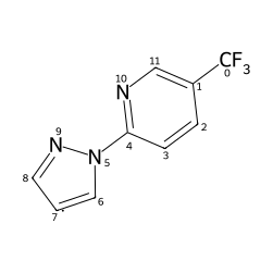 FC(F)(F)c1ccc(-n2c[c]cn2)nc1